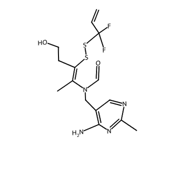 C=CC(F)(F)SS/C(CCO)=C(/C)N(C=O)Cc1cnc(C)nc1N